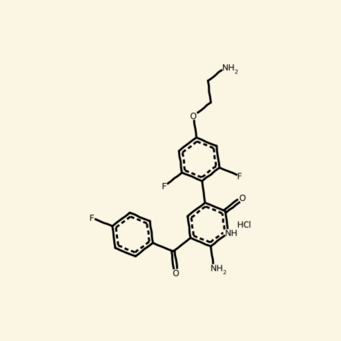 Cl.NCCOc1cc(F)c(-c2cc(C(=O)c3ccc(F)cc3)c(N)[nH]c2=O)c(F)c1